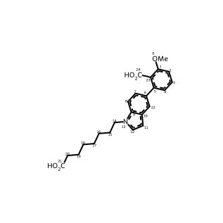 COc1cccc(-c2ccc3c(ccn3CCCCCCCC(=O)O)c2)c1C(=O)O